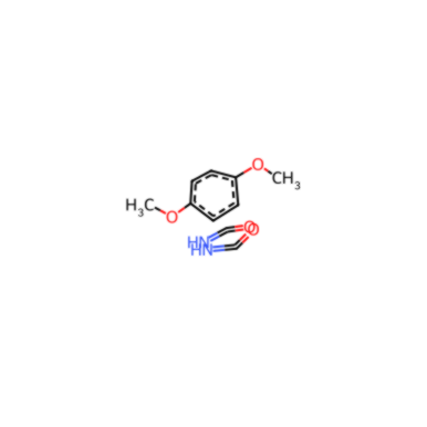 COc1ccc(OC)cc1.N=C=O.N=C=O